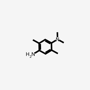 Cc1cc(N(C)C)c(C)cc1N